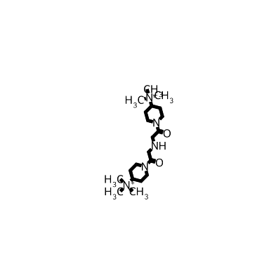 C[N+](C)(C)C1CCN(C(=O)CNCC(=O)N2CCC([N+](C)(C)C)CC2)CC1